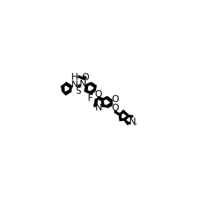 COc1cc2c(Oc3ccc(N(C(C)=O)C(=S)Nc4ccccc4)cc3F)ccnc2cc1OCC1CC2CN(C)CC2C1